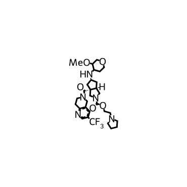 COC1COCCC1N[C@@H]1C[C@H]2CN(C(=O)OCCN3CCCC3)C[C@@]2(C(=O)N2CCc3ncc(C(F)(F)F)cc3C2)C1